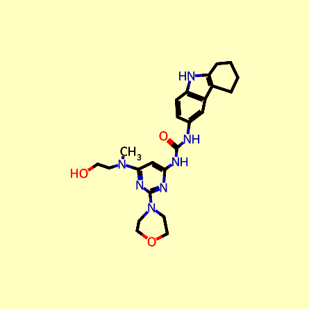 CN(CCO)c1cc(NC(=O)Nc2ccc3[nH]c4c(c3c2)CCCC4)nc(N2CCOCC2)n1